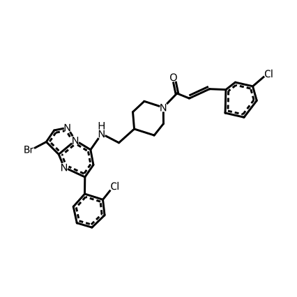 O=C(/C=C/c1cccc(Cl)c1)N1CCC(CNc2cc(-c3ccccc3Cl)nc3c(Br)cnn23)CC1